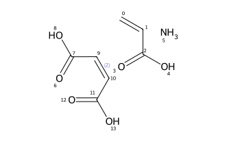 C=CC(=O)O.N.O=C(O)/C=C\C(=O)O